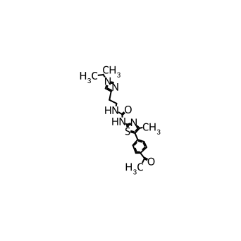 CC(=O)c1ccc(-c2sc(NC(=O)NCCc3cn(C(C)C)cn3)nc2C)cc1